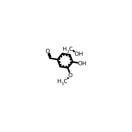 CO.COc1cc(C=O)ccc1O